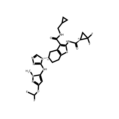 Cn1nc(OC(F)F)cc1Nc1nncn1[C@H]1CCc2sc(NC(=O)[C@H]3CC3(F)F)c(C(=O)NCC3CC3)c2C1